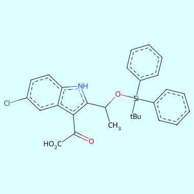 CC(O[Si](c1ccccc1)(c1ccccc1)C(C)(C)C)c1[nH]c2ccc(Cl)cc2c1C(=O)C(=O)O